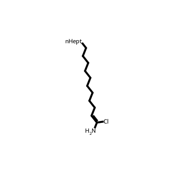 CCCCCCCCCCCCCCCCC=C(N)Cl